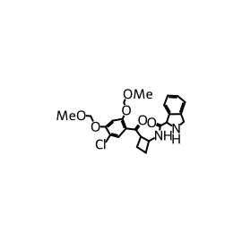 COCOc1cc(OCOC)c(C(=O)C2CCC2NC(=O)C2NCc3ccccc32)cc1Cl